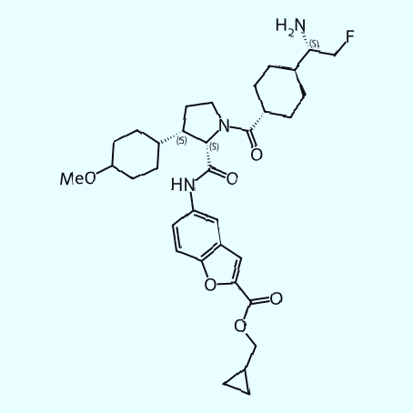 COC1CCC([C@@H]2CCN(C(=O)[C@H]3CC[C@H]([C@H](N)CF)CC3)[C@@H]2C(=O)Nc2ccc3oc(C(=O)OCC4CC4)cc3c2)CC1